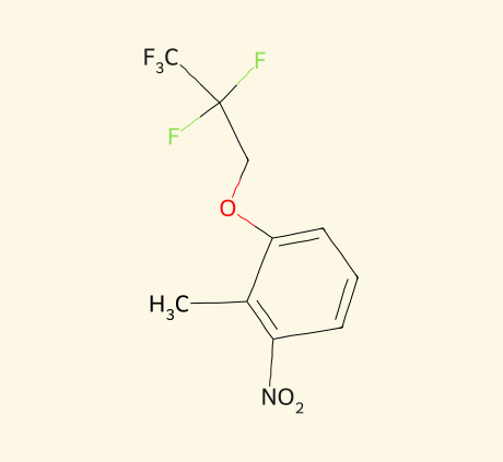 Cc1c(OCC(F)(F)C(F)(F)F)cccc1[N+](=O)[O-]